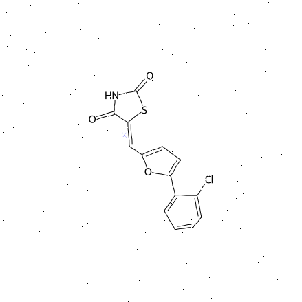 O=C1NC(=O)/C(=C/c2ccc(-c3ccccc3Cl)o2)S1